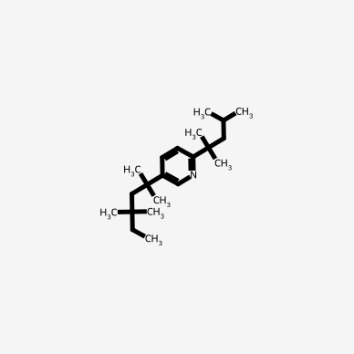 CCC(C)(C)CC(C)(C)c1ccc(C(C)(C)CC(C)C)nc1